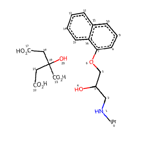 CC(C)NCC(O)COc1cccc2ccccc12.O=C(O)CC(O)(CC(=O)O)C(=O)O